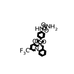 NS(=O)(=O)Nc1ccc(S(=O)(=O)N(Cc2ccccc2)c2ncc(C(F)(F)F)cc2Cl)cc1